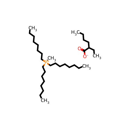 CCCCC(CC)C(=O)[O-].CCCCCCCC[P+](C)(CCCCCCCC)CCCCCCCC